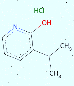 CC(C)c1cccnc1O.Cl